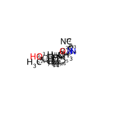 C[C@@]1(O)CC[C@H]2C(CC[C@@H]3[C@@H]2CC[C@]2(C)[C@@H](C(=O)Cn4cc(C#N)cn4)CCC[C@@H]32)C1